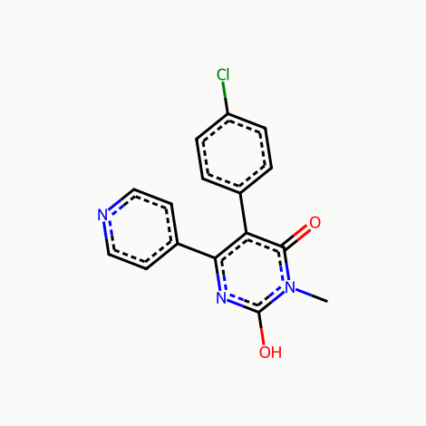 Cn1c(O)nc(-c2ccncc2)c(-c2ccc(Cl)cc2)c1=O